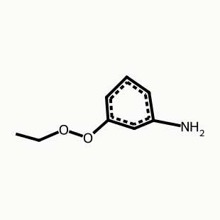 CCOOc1cccc(N)c1